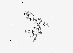 COc1nn(-c2cnc(C(F)(F)F)cn2)cc1CNC(=O)C1CC(F)CN1C(=O)O